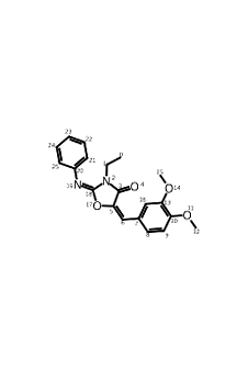 CCN1C(=O)/C(=C\c2ccc(OC)c(OC)c2)O/C1=N/c1ccccc1